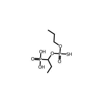 CCCOP(=O)(S)OC(CC)P(=O)(O)O